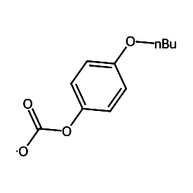 CCCCOc1ccc(OC([O])=O)cc1